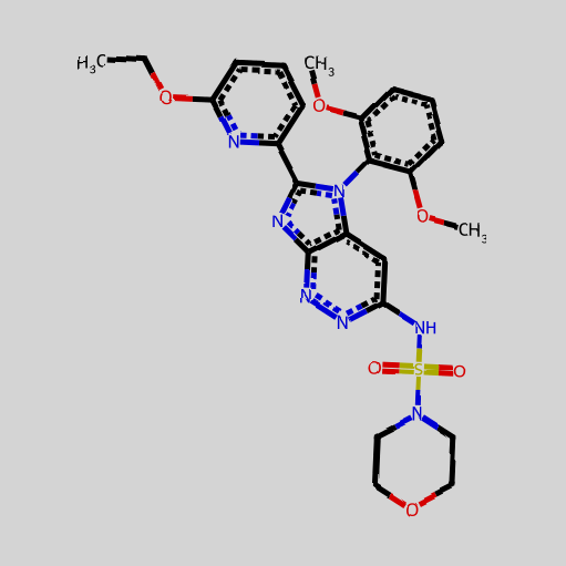 CCOc1cccc(-c2nc3nnc(NS(=O)(=O)N4CCOCC4)cc3n2-c2c(OC)cccc2OC)n1